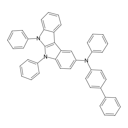 c1ccc(-c2ccc(N(c3ccccc3)c3ccc4c(c3)c3c5ccccc5n(-c5ccccc5)c3n4-c3ccccc3)cc2)cc1